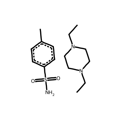 CCN1CCN(CC)CC1.Cc1ccc(S(N)(=O)=O)cc1